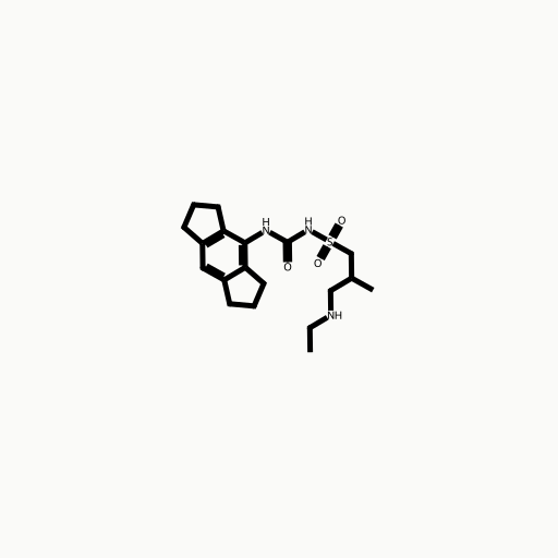 CCNCC(C)CS(=O)(=O)NC(=O)Nc1c2c(cc3c1CCC3)CCC2